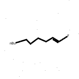 CCCCCCCCC=CF